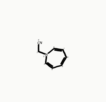 N#CCN1C=CC=CC=C1